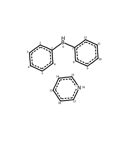 B(c1ccccc1)c1ccccc1.c1ccncc1